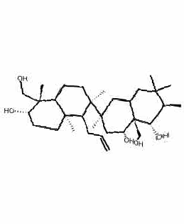 C=CCC1[C@@]2(C)CC[C@H](O)[C@](C)(CO)C2CC[C@@]1(C)[C@@]1(C)CC2CC(C)(C)[C@@H](C)[C@H](O)[C@]2(CO)[C@H](O)C1